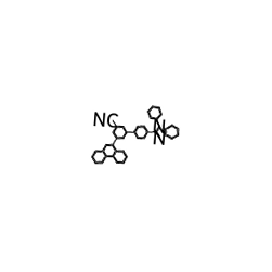 N#Cc1cc(-c2ccc(-c3nc4ccccc4n3-c3ccccc3)cc2)cc(-c2cc3ccccc3c3ccccc23)c1